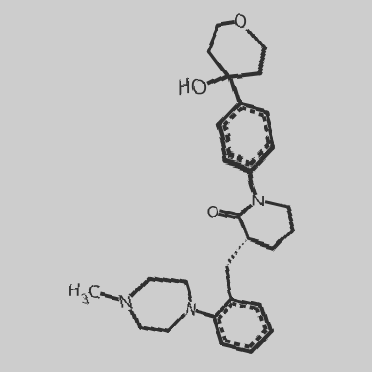 CN1CCN(c2ccccc2C[C@H]2CCCN(c3ccc(C4(O)CCOCC4)cc3)C2=O)CC1